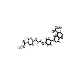 COC(=O)c1ccnc2ccc(-c3ccc(OCCCN4CCN(C(=O)OC(C)(C)C)CC4)cc3)cc12